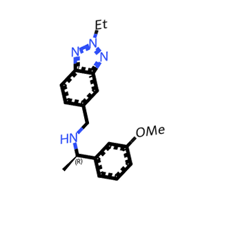 CCn1nc2ccc(CN[C@H](C)c3cccc(OC)c3)cc2n1